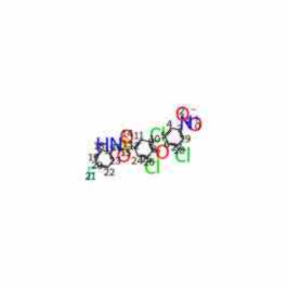 O=[N+]([O-])c1ccc(Oc2c(Cl)cc(S(=O)(=O)Nc3ccc(F)cc3)cc2Cl)c(Cl)c1